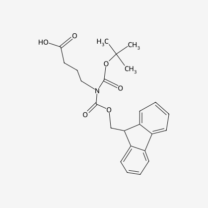 CC(C)(C)OC(=O)N(CCCC(=O)O)C(=O)OCC1c2ccccc2-c2ccccc21